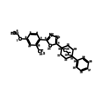 CCCCOc1ccc(-c2nnc(C34CCC(c5ccccc5)(CC3)CC4)o2)c(C(F)(F)F)c1